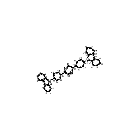 c1ccc2c(c1)c1ccccc1n2-c1ccc(-c2cnc(-c3ccc(-n4c5ccccc5c5ccccc54)cc3)cn2)cc1